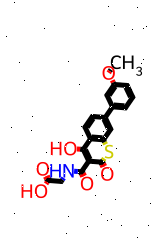 COc1cccc(-c2ccc3c(O)c(C(=O)NCC(=O)O)c(=O)sc3c2)c1